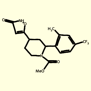 COC(=O)N1CCC(c2cc(=O)[nH]o2)CC1c1ccc(C(F)(F)F)cc1C